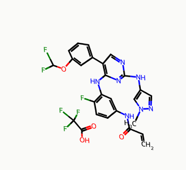 C=CC(=O)Nc1ccc(F)c(Nc2nc(Nc3cnn(C)c3)ncc2-c2cccc(OC(F)F)c2)c1.O=C(O)C(F)(F)F